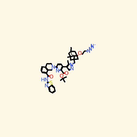 Cc1c(-c2ccc(N3CCc4cccc(C(=O)Nc5nc6ccccc6s5)c4C3)nc2C(=O)OC(C)(C)C)cnn1CC12CC3(C)CC4(C)CC(OCCN=[N+]=[N-])(C1)C32C4